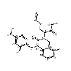 CNC(=O)C(CCC=O)N(C=O)Cc1c(C)cccc1NCc1ccc(OC)cc1F